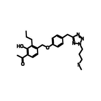 CCCc1c(COc2ccc(Cc3nnn(CCCSC)n3)cc2)ccc(C(C)=O)c1O